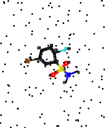 CN(C)S(=O)(=O)c1cc(Br)ccc1F